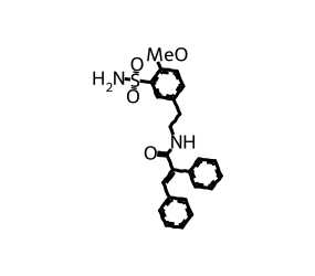 COc1ccc(CCNC(=O)C(=Cc2ccccc2)c2ccccc2)cc1S(N)(=O)=O